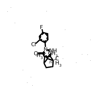 CC1(C)C2CC[C@]1(C)c1[nH]n(-c3ccc(F)cc3Cl)c(=O)c12